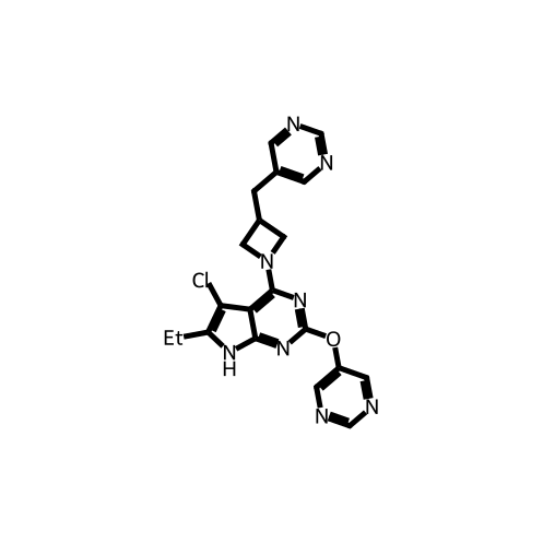 CCc1[nH]c2nc(Oc3cncnc3)nc(N3CC(Cc4cncnc4)C3)c2c1Cl